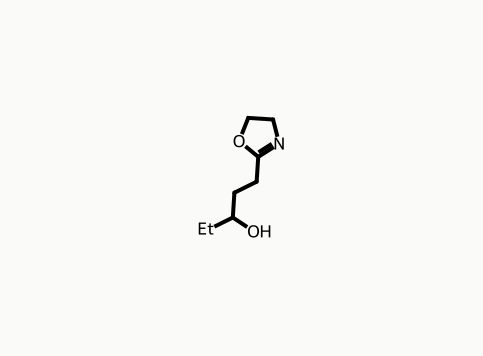 CCC(O)CCC1=NCCO1